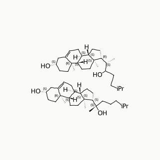 CC(C)CCC(O)[C@@H](C)[C@H]1CC[C@H]2[C@@H]3CC=C4C[C@@H](O)CC[C@]4(C)[C@H]3CC[C@]12C.CC(C)CCC[C@](C)(O)[C@H]1CC[C@H]2[C@@H]3CC=C4C[C@@H](O)CC[C@]4(C)[C@H]3CC[C@@]21C